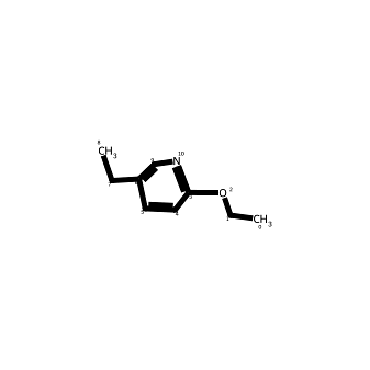 CCOc1ccc(CC)cn1